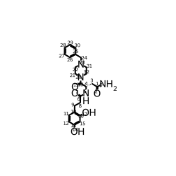 NC(=O)C[C@H](NC(=O)CCc1ccc(O)cc1O)C(=O)N1CCN(Cc2ccccc2)CC1